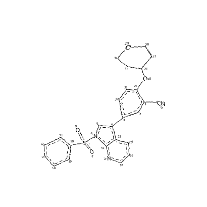 N#Cc1cc(-c2cn(S(=O)(=O)c3ccccc3)c3ncccc23)ccc1OC1CCOCC1